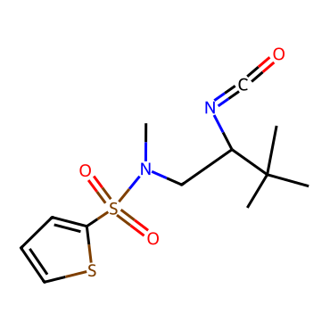 CN(CC(N=C=O)C(C)(C)C)S(=O)(=O)c1cccs1